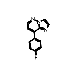 Fc1ccc(-c2ccnn3ccnc23)cc1